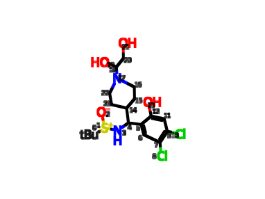 CC(C)(C)[S+]([O-])NC(c1cc(Cl)c(Cl)cc1O)C1CCN(C(O)CO)CC1